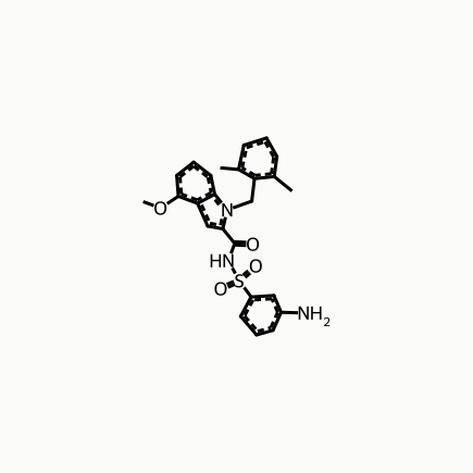 COc1cccc2c1cc(C(=O)NS(=O)(=O)c1cccc(N)c1)n2Cc1c(C)cccc1C